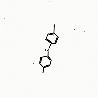 Cc1cc[c]([Cd][c]2ccc(C)cc2)cc1